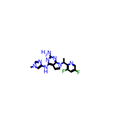 CC(c1ncc(F)cc1F)n1ccc2c(Nc3cn(C)cn3)nc(N)nc21